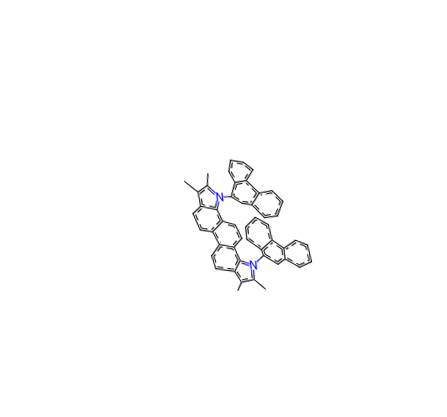 Cc1c(C)n(-c2cc3ccccc3c3ccccc23)c2c1ccc1c3ccc4c(C)c(C)n(-c5cc6ccccc6c6ccccc56)c4c3ccc12